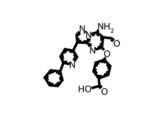 Nc1c(C=O)c(Oc2ccc(C(=O)O)cc2)nc2c(-c3ccc(-c4ccccc4)nc3)cnn12